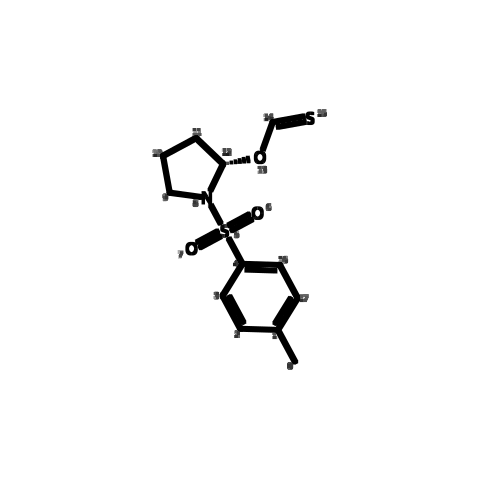 Cc1ccc(S(=O)(=O)N2CCC[C@@H]2OC=S)cc1